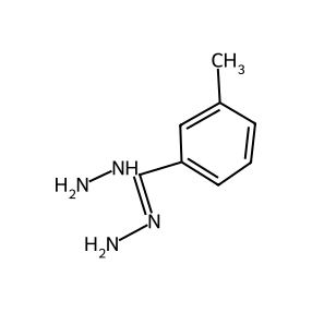 Cc1cccc(/C(=N/N)NN)c1